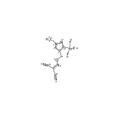 Cn1cc(CON=C(C#N)C#N)c(C(F)(F)F)n1